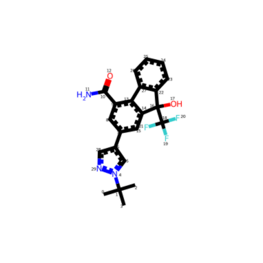 CC(C)(C)n1cc(-c2cc(C(N)=O)c3c(c2)C(O)(C(F)(F)F)c2ccccc2-3)cn1